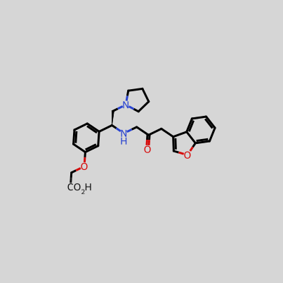 O=C(O)COc1cccc([C@@H](CN2CCCC2)NCC(=O)Cc2coc3ccccc23)c1